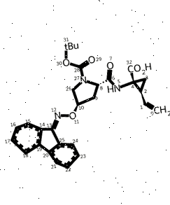 C=C[C@@H]1C[C@]1(NC(=O)[C@@H]1C[C@@H](ON=C2c3ccccc3-c3ccccc32)CN1C(=O)OC(C)(C)C)C(=O)O